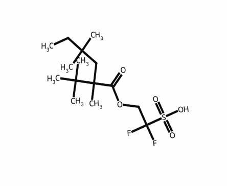 CCC(C)(C)CC(C)(C(=O)OCC(F)(F)S(=O)(=O)O)C(C)(C)C